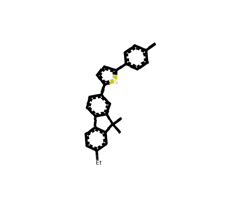 CCc1ccc2c(c1)C(C)(C)c1cc(-c3ccc(-c4ccc(C)cc4)s3)ccc1-2